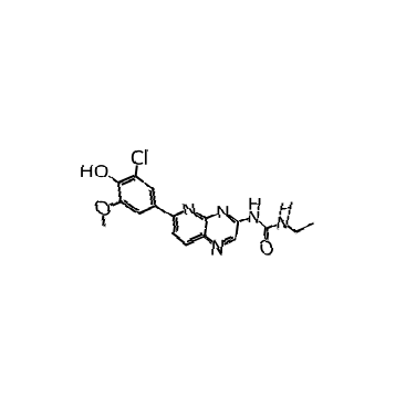 CCNC(=O)Nc1cnc2ccc(-c3cc(Cl)c(O)c(OC)c3)nc2n1